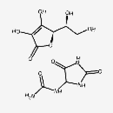 NC(=O)NC1NC(=O)NC1=O.O=C1O[C@H]([C@@H](O)CO)C(O)=C1O